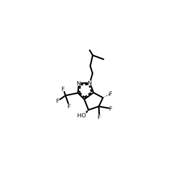 CC(C)CCn1nc(C(F)(F)F)c2c1[C@H](F)C(F)(F)[C@H]2O